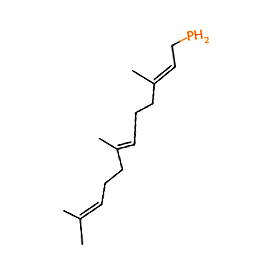 CC(C)=CCC/C(C)=C/CC/C(C)=C/CP